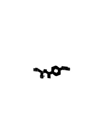 CCC[N+]([O-])=NNc1ccc(OC)cc1